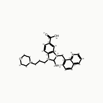 NC1N(CCCN2CCOCC2)c2ccc(C(=O)O)cc2N1Cc1cccc2cccnc12